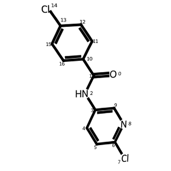 O=C(Nc1ccc(Cl)nc1)c1ccc(Cl)cc1